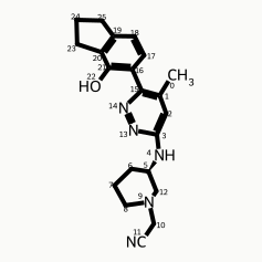 Cc1cc(N[C@@H]2CCCN(CC#N)C2)nnc1-c1ccc2c(c1O)CCC2